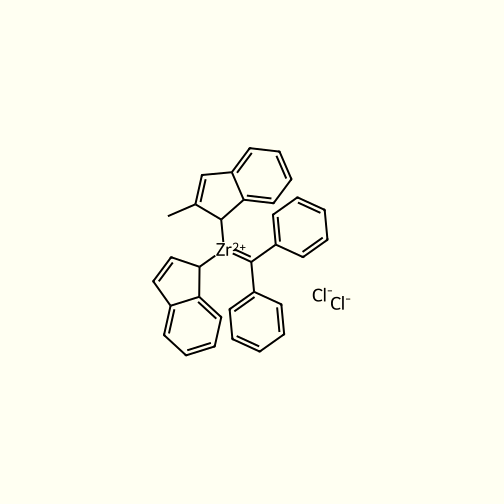 CC1=Cc2ccccc2[CH]1[Zr+2](=[C](c1ccccc1)c1ccccc1)[CH]1C=Cc2ccccc21.[Cl-].[Cl-]